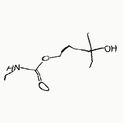 CNC(=O)OCCC(C)(C)O